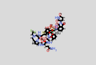 CC(C)(C)c1ccc(C[C@H](NC(=O)[C@H](CCC(N)=O)NC(=O)[C@@H]2CC[C@@H]3CCN(CC(F)F)C[C@H](NC(=O)c4cc5cc(C(F)(F)P(=O)(O)O)ccc5s4)C(=O)N32)C(=O)N2CCC(CCNc3cccc4c3C(=O)N(C3CCC(=O)NC3=O)C4=O)CC2)cc1